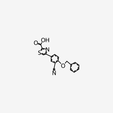 N#Cc1cc(-c2csc(C(=O)O)n2)ccc1OCc1ccccc1